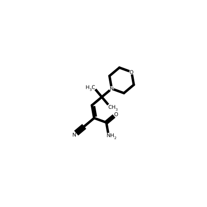 CC(C)(C=C(C#N)C(N)=O)N1CCOCC1